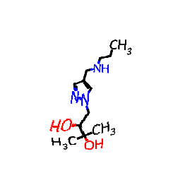 CCCNCc1cnn(C[C@H](O)C(C)(C)O)c1